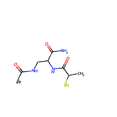 CC(C)C(=O)NCC(NC(=O)C(C)S)C(N)=O